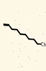 C=CCCCCCCC[C]=O